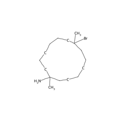 CC1(N)CCCCCCC(C)(Br)CCCCCC1